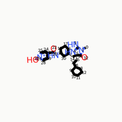 CN1C(=N)N[C@](CCC2CCCCC2)(C[C@H]2CCC[C@@H](NC(=O)c3cc[n+](O)cc3)C2)C1=O